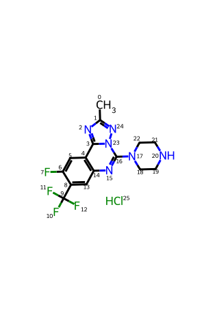 Cc1nc2c3cc(F)c(C(F)(F)F)cc3nc(N3CCNCC3)n2n1.Cl